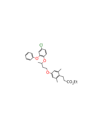 CCOC(=O)CCc1c(C)cc(OCCC(C)Oc2ccc(Cl)cc2Oc2ccccc2)cc1C